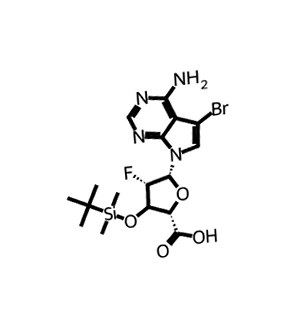 CC(C)(C)[Si](C)(C)OC1[C@@H](C(=O)O)O[C@@H](n2cc(Br)c3c(N)ncnc32)[C@H]1F